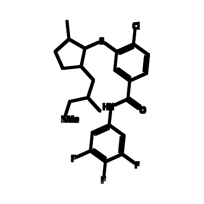 CNCC(C)CC1CCC(C)C1Sc1cc(C(=O)Nc2cc(F)c(F)c(F)c2)ccc1Cl